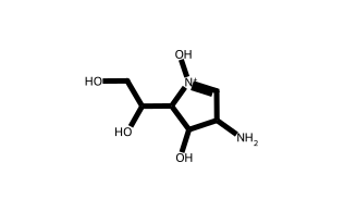 NC1C=[N+](O)C(C(O)CO)C1O